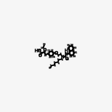 CCCCCCCN(CCOc1ccc(CC(OCC)C(=O)O)cc1)C(=O)Nc1cccc2ccccc12